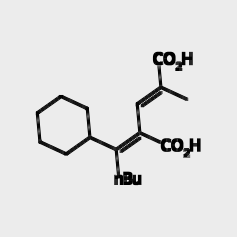 CCCCC(=C(C=C(C)C(=O)O)C(=O)O)C1CCCCC1